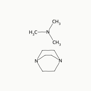 C1CN2CCN1CC2.CN(C)C